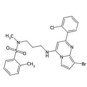 Cc1ccccc1S(=O)(=O)N(C)CCCNc1cc(-c2ccccc2Cl)nc2c(Br)ccn12